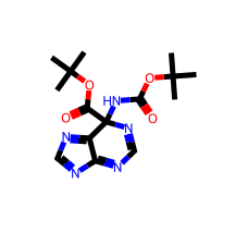 CC(C)(C)OC(=O)NC1(C(=O)OC(C)(C)C)N=CN=C2N=CN=C21